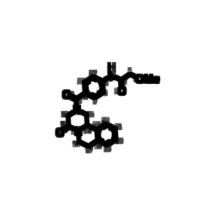 COCC(=O)Nc1ccc(C(=O)N2CC(=O)N3CCc4ccccc4C3C2)cc1